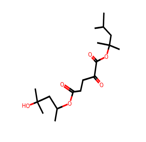 CC(C)CC(C)(C)OC(=O)C(=O)CCC(=O)OC(C)CC(C)(C)O